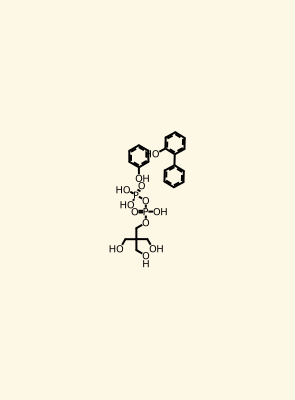 O=P(O)(O)OP(=O)(O)OCC(CO)(CO)CO.Oc1ccccc1.Oc1ccccc1-c1ccccc1